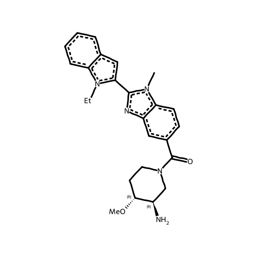 CCn1c(-c2nc3cc(C(=O)N4CC[C@@H](OC)[C@H](N)C4)ccc3n2C)cc2ccccc21